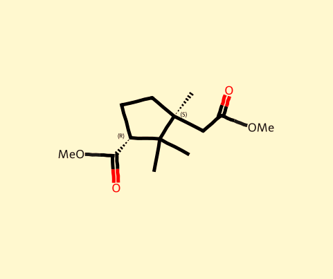 COC(=O)C[C@]1(C)CC[C@@H](C(=O)OC)C1(C)C